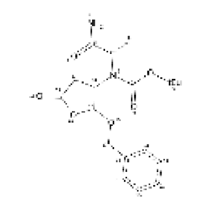 C[C@@H](C(N)=O)N(C(=O)OC(C)(C)C)C1CC(=O)OC1OCc1ccccc1